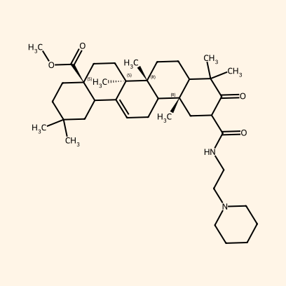 COC(=O)[C@]12CCC(C)(C)CC1C1=CCC3[C@@]4(C)CC(C(=O)NCCN5CCCCC5)C(=O)C(C)(C)C4CC[C@@]3(C)[C@]1(C)CC2